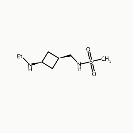 CCN[C@H]1C[C@@H](CNS(C)(=O)=O)C1